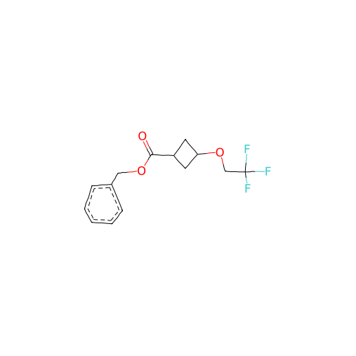 O=C(OCc1ccccc1)C1CC(OCC(F)(F)F)C1